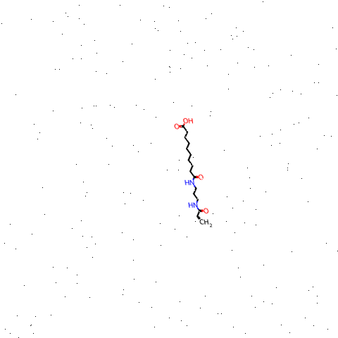 C=CC(=O)NCCCNC(=O)CCCCCCCCC(=O)O